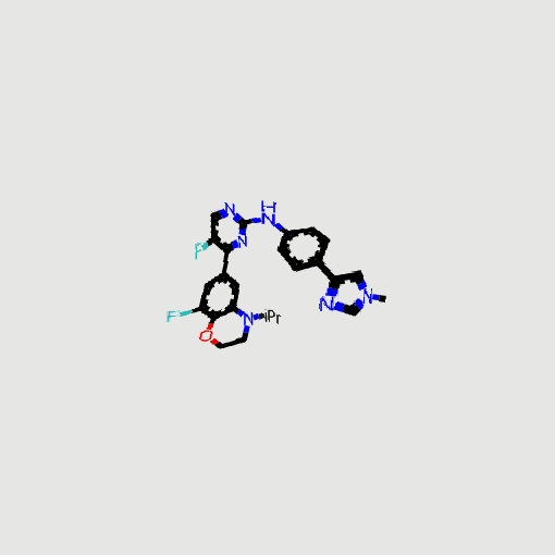 CC(C)N1CCOc2c(F)cc(-c3nc(Nc4ccc(-c5cn(C)cn5)cc4)ncc3F)cc21